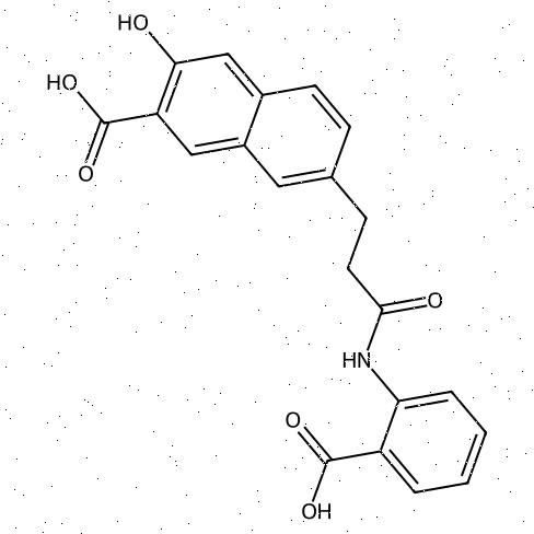 O=C(CCc1ccc2cc(O)c(C(=O)O)cc2c1)Nc1ccccc1C(=O)O